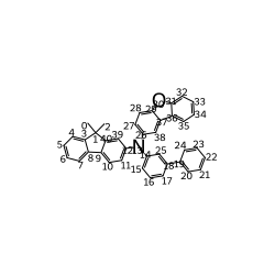 CC1(C)c2ccccc2-c2ccc(N(c3cccc(-c4ccccc4)c3)c3ccc4oc5ccccc5c4c3)cc21